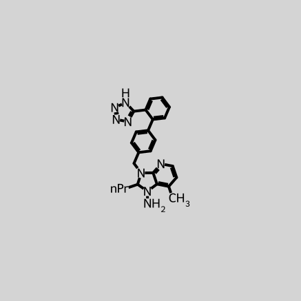 CCCC1N(N)c2c(C)ccnc2N1Cc1ccc(-c2ccccc2-c2nnn[nH]2)cc1